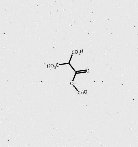 O=COC(=O)C(C(=O)O)C(=O)O